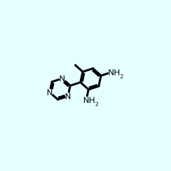 Cc1cc(N)cc(N)c1-c1ncncn1